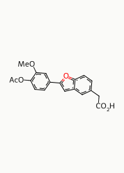 COc1cc(-c2cc3cc(CC(=O)O)ccc3o2)ccc1OC(C)=O